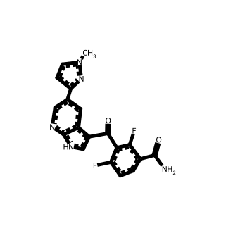 Cn1ccc(-c2cnc3[nH]cc(C(=O)c4c(F)ccc(C(N)=O)c4F)c3c2)n1